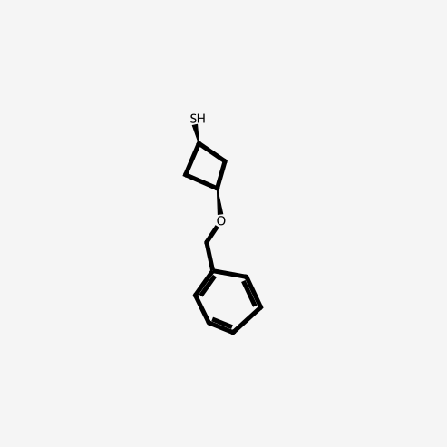 S[C@H]1C[C@@H](OCc2ccccc2)C1